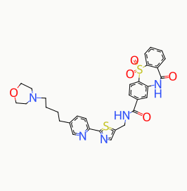 O=C(NCc1cnc(-c2ccc(CCCCN3CCOCC3)cn2)s1)c1ccc2c(c1)NC(=O)c1ccccc1S2(=O)=O